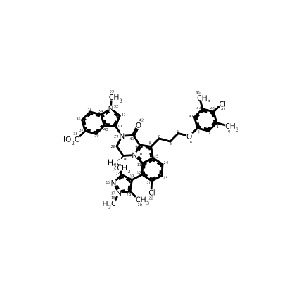 Cc1cc(OCCCc2c3n(c4c(-c5c(C)nn(C)c5C)c(Cl)ccc24)[C@@H](C)CN(c2cn(C)c4ccc(C(=O)O)cc24)C3=O)cc(C)c1Cl